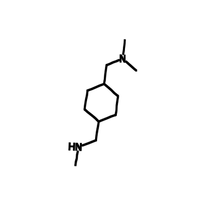 CNCC1CCC(CN(C)C)CC1